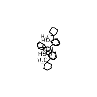 CC1(c2cccc(C(c3cccc(C4(C)CCCCC4)c3O)C3CC4C=CC3C4(C)C)c2O)CCCCC1